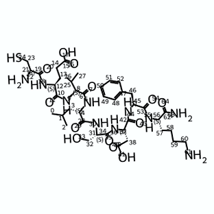 CC(C)C[C@H](NC(=O)[C@@H](NC(=O)[C@H](CCC(=O)O)NC(=O)[C@@H](N)CS)C(C)C)C(=O)N[C@@H](CO)C(=O)N[C@@H](CC(=O)O)C(=O)N[C@@H](Cc1ccccc1)C(=O)N[C@@H](CCCCN)C(N)=O